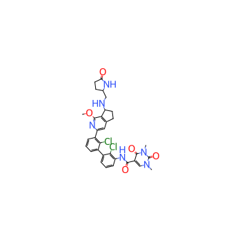 COc1nc(-c2cccc(-c3cccc(NC(=O)c4cn(C)c(=O)n(C)c4=O)c3Cl)c2Cl)cc2c1C(NCC1CCC(=O)N1)CC2